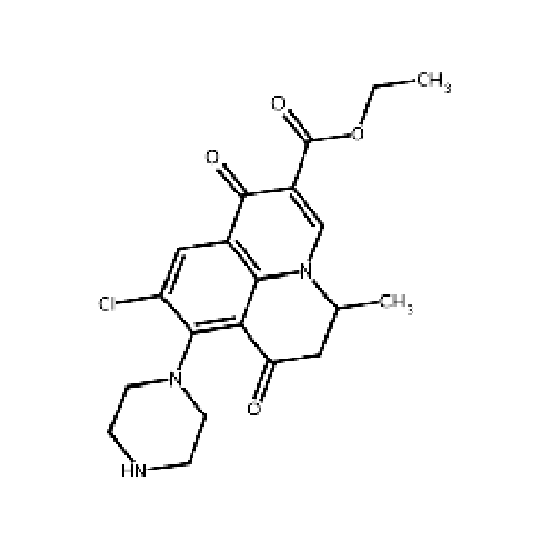 CCOC(=O)c1cn2c3c(c(N4CCNCC4)c(Cl)cc3c1=O)C(=O)CC2C